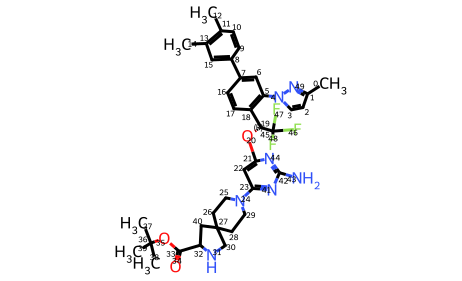 Cc1ccn(-c2cc(-c3ccc(C)c(C)c3)ccc2[C@@H](Oc2cc(N3CCC4(CC3)CNC(C(=O)OC(C)(C)C)C4)nc(N)n2)C(F)(F)F)n1